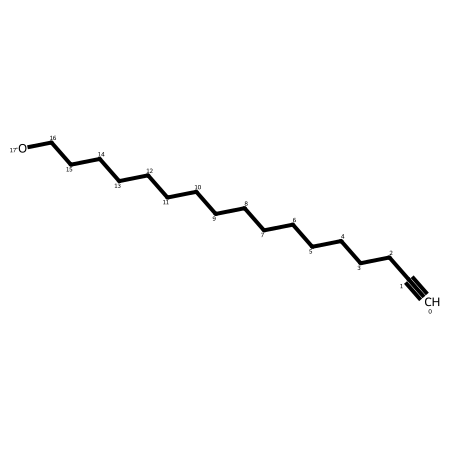 C#CCCCCCCCCCCCCCCC[O]